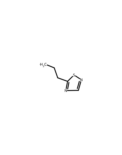 [CH2]CCc1ncns1